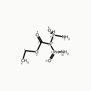 CCOC(=O)N([PH](N)=O)[PH](N)=O